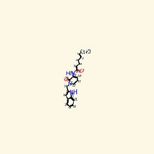 O=C/C=C/CCCC(=O)Nc1cccn(Cc2cc3ccccc3[nH]2)c1=O